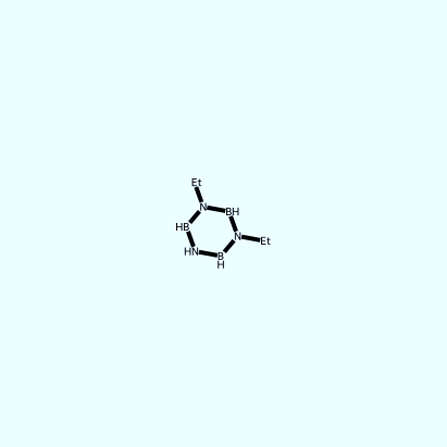 CCN1BNBN(CC)B1